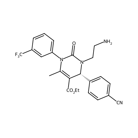 CCOC(=O)C1=C(C)N(c2cccc(C(F)(F)F)c2)C(=O)N(CCN)[C@@H]1c1ccc(C#N)cc1